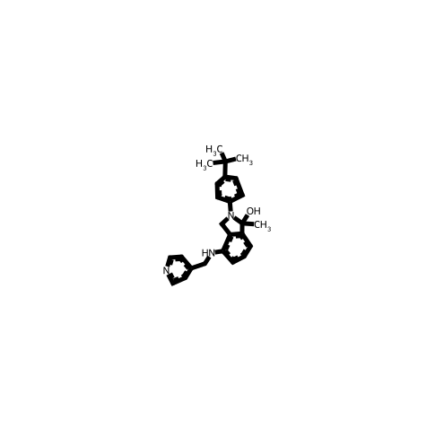 CC(C)(C)c1ccc(N2Cc3c(NCc4ccncc4)cccc3C2(C)O)cc1